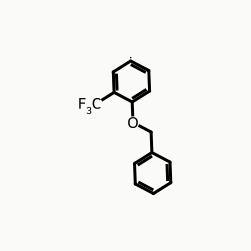 FC(F)(F)c1c[c]ccc1OCc1ccccc1